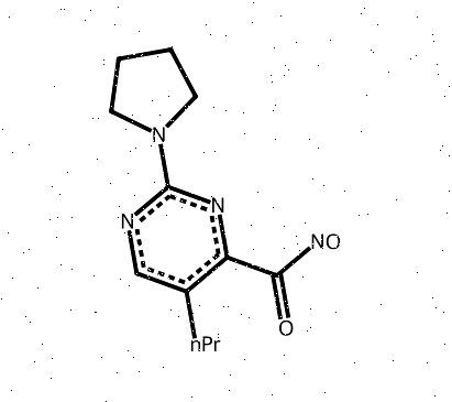 CCCc1cnc(N2CCCC2)nc1C(=O)N=O